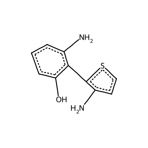 Nc1ccsc1-c1c(N)cccc1O